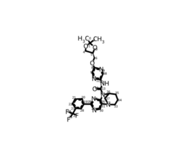 CC1(C)OC[C@H](COc2cnc(NC(=O)N3c4nc(-c5cccc(C(F)(F)F)c5)ncc4N4CCCC3C4)cn2)O1